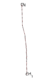 CC#CC#CC#CC#CC#CC#CC#CC#CC#CC#CC#CC#CC#CC#CC#CC#CC#CC#CC#CC#CC#CC#CC#CC#CC#CC#CC#CC#CC#CC#CC#CC#CC#CC#CC#CC#CC#CC#CC#CC#CC#CC#CC#CC#CC#CC#CC#CC#CC#CC#CC#CC#CC#CC#N